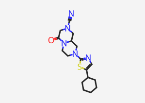 N#CN1CC(=O)N2CCN(c3ncc(C4CCCCC4)s3)CC2C1